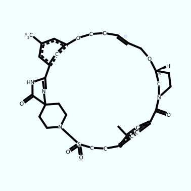 Cc1cc2ccc1CCS(=O)(=O)N1CCC3(CC1)N=C(NC3=O)c1cc(cc(C(F)(F)F)c1)OCC/C=C/CO[C@@H]1CCN(C1)C2=O